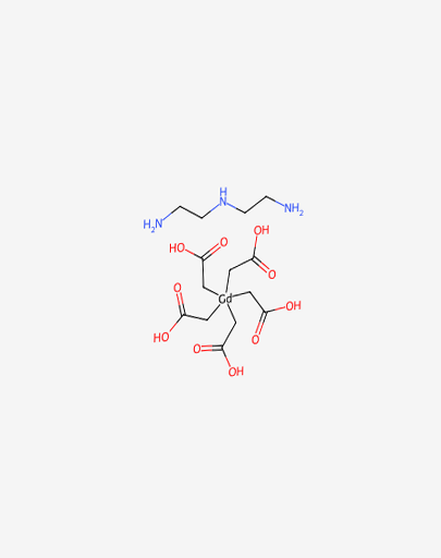 NCCNCCN.O=C(O)[CH2][Gd]([CH2]C(=O)O)([CH2]C(=O)O)([CH2]C(=O)O)[CH2]C(=O)O